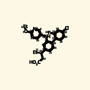 CCOc1ncc(Nc2cc([C@H](CC)CC(=O)O)ccc2-c2ccc(Cl)cc2F)cn1